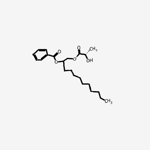 CCCCCCCCCCC(COC(=O)[C@H](C)O)OC(=O)c1ccccc1